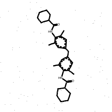 Cc1cc(Cc2cc(C)c(NC(=O)C3CCCCC3)c(C)c2)cc(C)c1NC(=O)C1CCCCC1